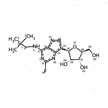 C[Si](C)(C)CNc1nc(F)nc2c1ncn2[C@H]1O[C@@H](CO)[C@H](O)[C@@H]1O